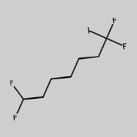 FC(F)CCCCCC(F)(F)I